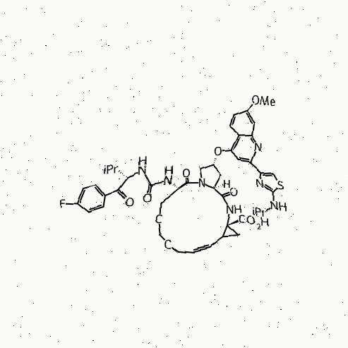 COc1ccc2c(O[C@@H]3C[C@H]4C(=O)N[C@]5(C(=O)O)CC5/C=C\CCCCC[C@H](NC(=O)N[C@H](C(=O)c5ccc(F)cc5)C(C)C)C(=O)N4C3)cc(-c3csc(NC(C)C)n3)nc2c1